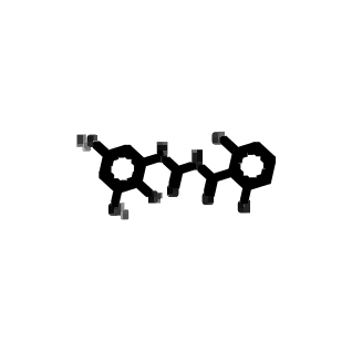 O=C(NC(=O)c1c(Cl)cccc1Cl)Nc1cc(C(F)(F)F)cc(C(F)(F)F)c1Br